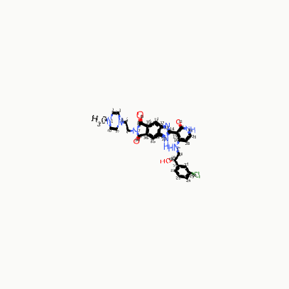 CN1CCN(CCN2C(=O)c3cc4nc(-c5c(NC[C@@H](O)c6cccc(Cl)c6)cc[nH]c5=O)[nH]c4cc3C2=O)CC1